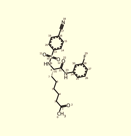 CC(=O)CCCCC[C@H](NS(=O)(=O)c1ccc(C#N)cc1)C(=O)Nc1cccc(F)c1